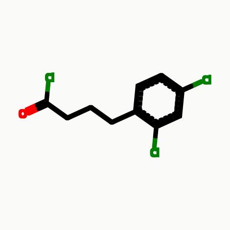 O=C(Cl)CCCc1ccc(Cl)cc1Cl